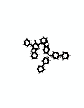 Cc1c(C2=c3c(oc4cc(N(c5ccc(-c6ccccc6)cc5)c5ccc(-c6ccccc6)cc5)ccc34)=CCC2)nc2c(sc3ccccc32)c1C1C=CC=CC1